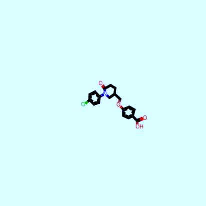 O=C(O)c1ccc(OCC2CCC(=O)N(c3ccc(Cl)cc3)C2)cc1